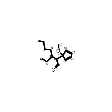 CCCCC(CC)C(C=O)C1(OC)C=CC=C1